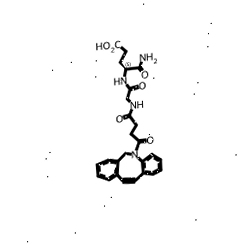 NC(=O)[C@H](CCC(=O)O)NC(=O)CNC(=O)CCC(=O)N1Cc2ccccc2C#Cc2ccccc21